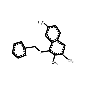 Cc1ccc2nc(C)c(C)c(OCc3ccccc3)c2c1